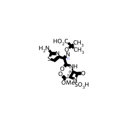 COC(=O)[C@@H]1[C@@H](NC(=O)/C(=N/OC(C)(C)C(=O)O)c2csc(N)n2)C(=O)N1S(=O)(=O)O